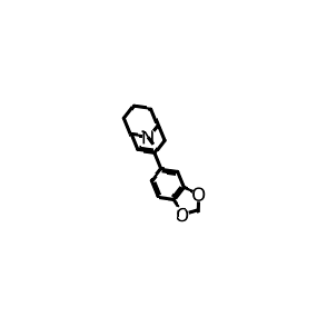 CN1C2C=C(c3ccc4c(c3)OCO4)CC1CCC2